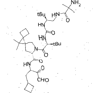 CC(C)(N)C(=O)NC[C@@H](NC(=O)N[C@H](C(=O)N1CC2(C[C@H]1C(=O)NC(CC1CCC1)C(=O)C=O)C(C)(C)C21CCC1)C(C)(C)C)C(C)(C)C